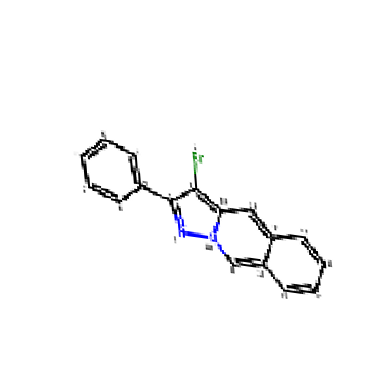 Brc1c(-c2ccccc2)nn2cc3ccccc3cc12